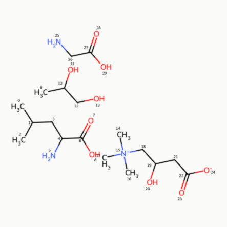 CC(C)CC(N)C(=O)O.CC(O)CO.C[N+](C)(C)CC(O)CC(=O)[O-].NCC(=O)O